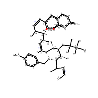 CC/C=C\C(C)[C@H](OCc1ccc(OC)cc1)[C@@H](C)[C@H](CC(C)(C)[Si](C)(C)O)[C@@H](C)C/C(C)=C\[C@H](C)[C@@H](OCOC)C(C)/C=C\c1ccc2oc(=O)ccc2c1